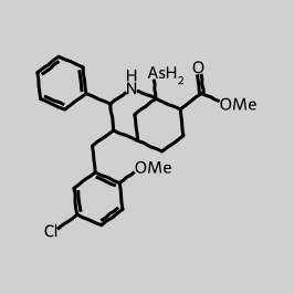 COC(=O)C1CCC2CC1([AsH2])NC(c1ccccc1)C2Cc1cc(Cl)ccc1OC